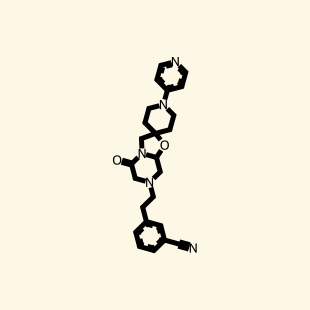 N#Cc1cccc(CCN2CC(=O)N3CC4(CCN(c5ccncc5)CC4)OC3C2)c1